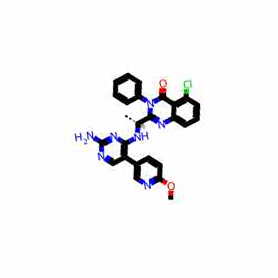 COc1ccc(-c2cnc(N)nc2N[C@H](C)c2nc3cccc(Cl)c3c(=O)n2-c2ccccc2)cn1